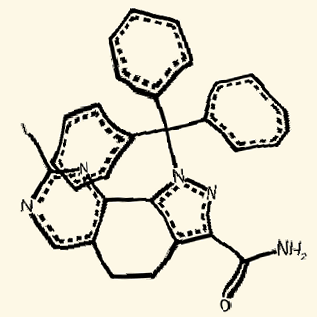 NC(=O)c1nn(C(c2ccccc2)(c2ccccc2)c2ccccc2)c2c1CCc1cnc(I)nc1-2